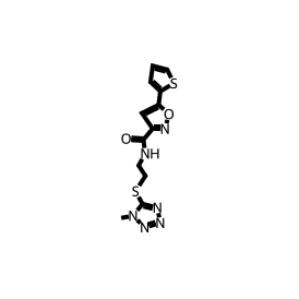 Cn1nnnc1SCCNC(=O)c1cc(-c2cccs2)on1